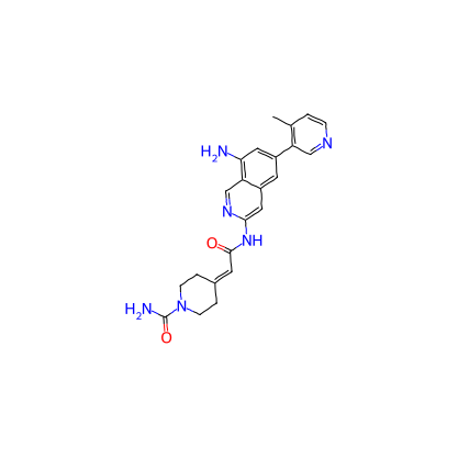 Cc1ccncc1-c1cc(N)c2cnc(NC(=O)C=C3CCN(C(N)=O)CC3)cc2c1